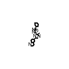 Cc1ncc(-c2ccc3ncccc3c2)nc1-c1nnc(-c2ccccc2)o1